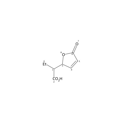 CCC(C(=O)O)C1C=CC(=O)O1